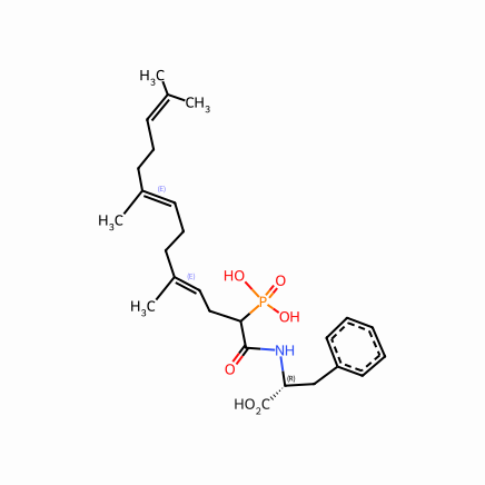 CC(C)=CCC/C(C)=C/CC/C(C)=C/CC(C(=O)N[C@H](Cc1ccccc1)C(=O)O)P(=O)(O)O